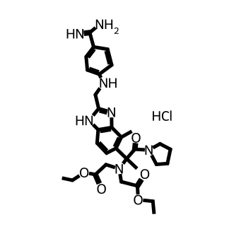 CCOC(=O)CN(CC(=O)OCC)C(C)(C(=O)N1CCCC1)c1ccc2[nH]c(CNc3ccc(C(=N)N)cc3)nc2c1C.Cl